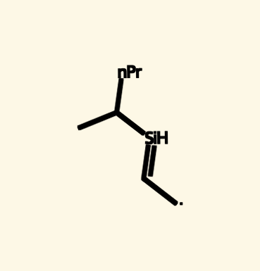 [CH2]C=[SiH]C(C)CCC